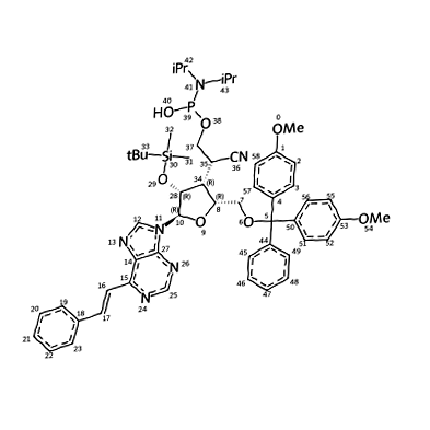 COc1ccc(C(OC[C@@H]2O[C@@H](n3cnc4c(C=Cc5ccccc5)ncnc43)[C@H](O[Si](C)(C)C(C)(C)C)[C@@H]2C(C#N)COP(O)N(C(C)C)C(C)C)(c2ccccc2)c2ccc(OC)cc2)cc1